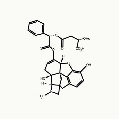 CC(=O)O[C@@H](CC(=O)O[C@H](C(=O)OC1=CC[C@@]2(O)[C@@H]3N(C)CC34Cc3ccc(O)c5c3[C@@]2(C4)[C@H]1O5)c1ccccc1)C(=O)O